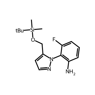 CC(C)(C)[Si](C)(C)OCc1ccnn1-c1c(N)cccc1F